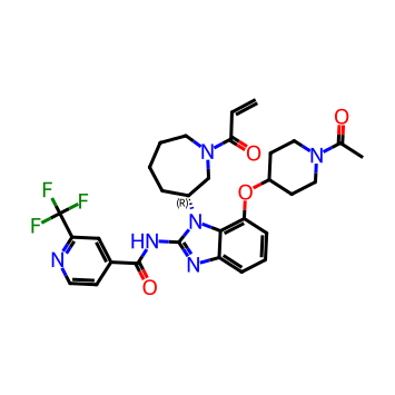 C=CC(=O)N1CCCC[C@@H](n2c(NC(=O)c3ccnc(C(F)(F)F)c3)nc3cccc(OC4CCN(C(C)=O)CC4)c32)C1